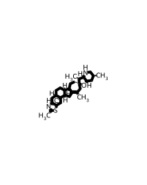 CC1=NC2C[C@H]3CC[C@H]4[C@@H]5CC[C@@]6(CC(C)=C5C[C@@H]4[C@@]3(C)CC2S1)O[C@@H]1C[C@H](C)CN[C@H]1[C@H]6C